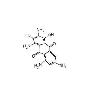 Nc1cc(N)c2c(c1)C(=O)c1c(O)c(N)c(O)c(N)c1C2=O